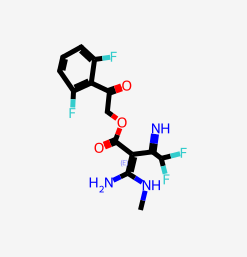 CN/C(N)=C(\C(=N)C(F)F)C(=O)OCC(=O)c1c(F)cccc1F